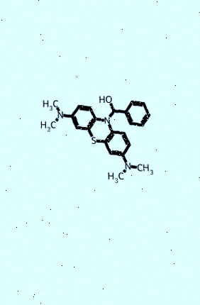 CN(C)c1ccc2c(c1)Sc1cc(N(C)C)ccc1N2C(O)c1ccccc1